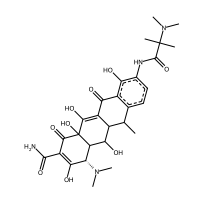 CC1c2ccc(NC(=O)C(C)(C)N(C)C)c(O)c2C(=O)C2=C(O)C3(O)C(=O)C(C(N)=O)=C(O)[C@@H](N(C)C)C3C(O)C21